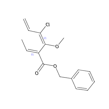 C=C/C(Cl)=C(OC)\C(=C/C)C(=O)OCc1ccccc1